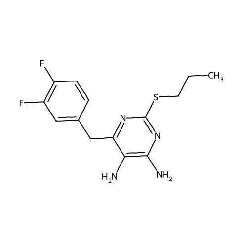 CCCSc1nc(N)c(N)c(Cc2ccc(F)c(F)c2)n1